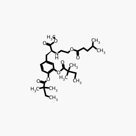 CCC(C)(C)C(=O)Oc1ccc(C[C@H](NCCOC(=O)CCC(C)C)C(=O)OC)cc1OC(=O)C(C)(C)CC